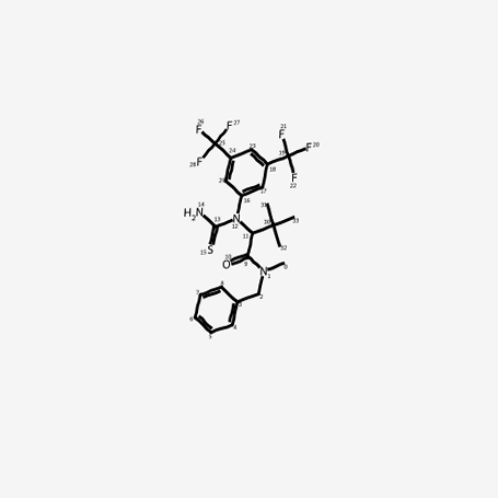 CN(Cc1ccccc1)C(=O)C(N(C(N)=S)c1cc(C(F)(F)F)cc(C(F)(F)F)c1)C(C)(C)C